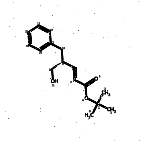 CC(C)(C)OC(=O)/N=C/[C@H](CO)Cc1ccccc1